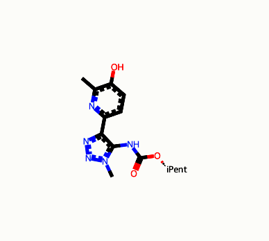 CCC[C@@H](C)OC(=O)Nc1c(-c2ccc(O)c(C)n2)nnn1C